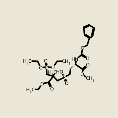 CCOC(=O)C(C)(CP(=O)(O)CC[C@H](NC(=O)OCc1ccccc1)C(=O)OC)CP(=O)(OCC)OCC